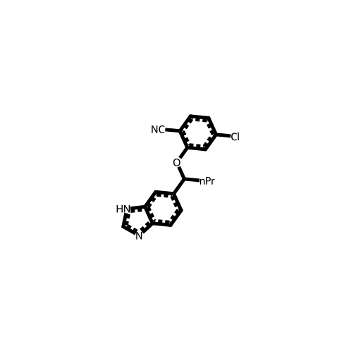 CCCC(Oc1cc(Cl)ccc1C#N)c1ccc2nc[nH]c2c1